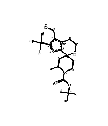 CC1CC2(CCN1C(=O)OC(C)(C)C)OCCc1c2sc(C(F)(F)F)c1CO